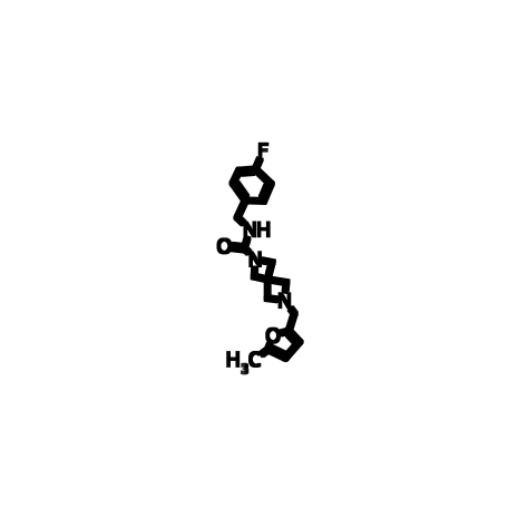 Cc1ccc(CN2CC3(C2)CN(C(=O)NCc2ccc(F)cc2)C3)o1